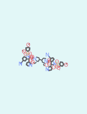 CCOc1ncccc1C1(OC(=O)N2CCC(C3CCN(C(=O)OC4(c5cccnc5OCC)C(=O)N(S(=O)(=O)c5ccc(OC)cc5OC)c5ccc(C#N)cc54)CC3)CC2)C(=O)N(S(=O)(=O)c2ccc(OC)cc2OC)c2ccc(C#N)cc21